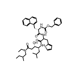 CCC(C)CN(CC)C(=O)C[C@H](O)[C@H](CC(C)C)NC(=O)C(Cc1cccs1)NC(=O)[C@H](Cc1cccc2ccccc12)NC(=O)OCc1ccccc1